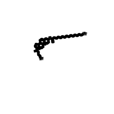 CC(C)CCCCCCCCCCCCCCC(=O)OC1CCC2(C)C(=CCC3C2CCC2(C)C(C(C)CCCC(C)C)CCC32)C1